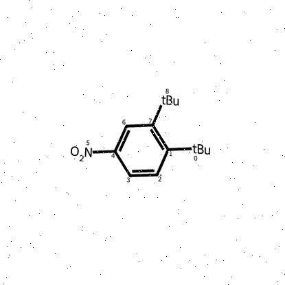 CC(C)(C)c1[c]cc([N+](=O)[O-])cc1C(C)(C)C